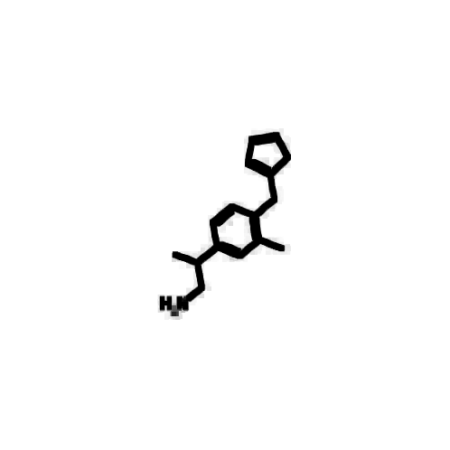 Cc1cc(C(C)CN)ccc1CC1=CC=CC1